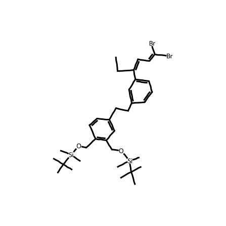 CC/C(=C/C=C(Br)Br)c1cccc(CCc2ccc(CO[Si](C)(C)C(C)(C)C)c(CO[Si](C)(C)C(C)(C)C)c2)c1